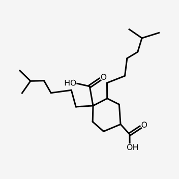 CC(C)CCCCC1CC(C(=O)O)CCC1(CCCCC(C)C)C(=O)O